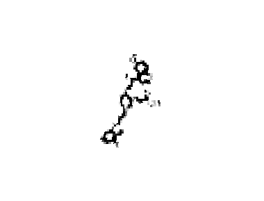 COc1ccc2nccc([C@H](F)CC[C@@H]3CCN(CCCSc4cccc(F)c4F)C[C@H]3CCC(=O)O)c2c1